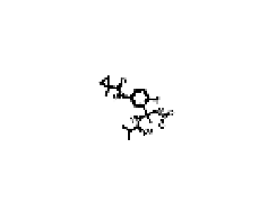 CC(C)C(=N)N[C@@](C)(C[SH](=O)=O)c1cc(NC(=O)C2(C)CC2)ccc1F